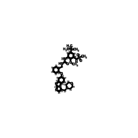 COc1c(NC(=O)NCc2ccccc2Oc2ccc3c(c2)sc2ncc(CN4CCOCC4)n23)cc(C(C)(C)C)cc1NS(C)(=O)=O